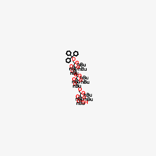 CCCCO[C@@H](OC[C@@H](OCCCC)[C@@H](OCCCC)[C@H](OCCCC)[C@@H](COC(c1ccccc1)(c1ccccc1)c1ccccc1)OCCCC)[C@H](OCCCC)[C@@H](OCCCC)[C@H](CCOC[C@@H](OCCCC)[C@@H](OCCCC)[C@H](OCCCC)[C@@H](O)OCCCC)OCCCC